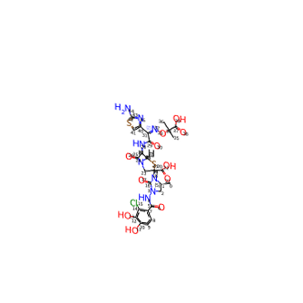 C[C@H]1CN(NC(=O)c2ccc(O)c(O)c2Cl)C(=O)N1[C@]1(C(=O)O)CN2C(=O)[C@@H](NC(=O)/C(=N\OC(C)(C)C(=O)O)c3csc(N)n3)[C@H]2S1